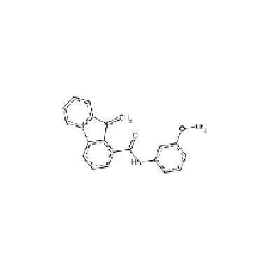 C=C1c2ccccc2-c2cccc(C(=O)Nc3cccc(OC(F)(F)F)c3)c21